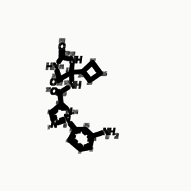 Nc1cccc(-n2ncc(C(=O)NC3(C4CCC4)NC(=O)NC3=O)n2)c1